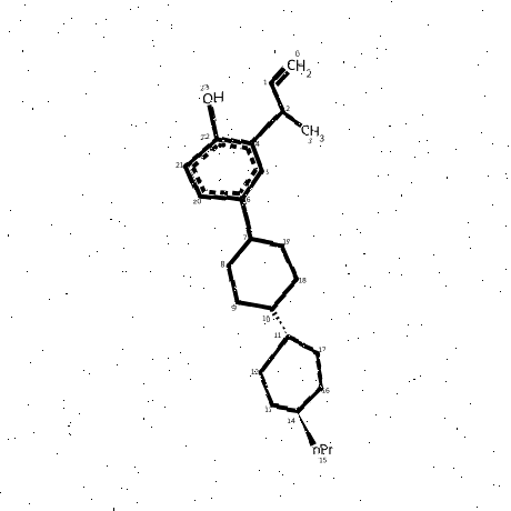 C=CC(C)c1cc(C2CCC([C@H]3CC[C@H](CCC)CC3)CC2)ccc1O